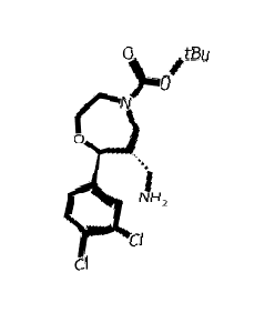 CC(C)(C)OC(=O)N1CCO[C@H](c2ccc(Cl)c(Cl)c2)[C@@H](CN)C1